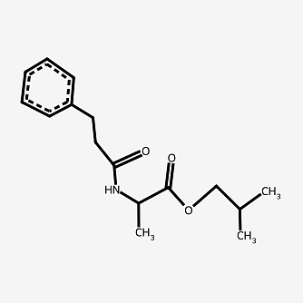 CC(C)COC(=O)C(C)NC(=O)CCc1ccccc1